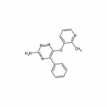 Cc1ncccc1Oc1nnc(N)nc1-c1ccccc1